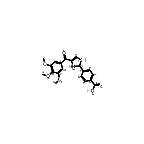 COc1cc(C(=O)C2=C[SH]C(c3ccc(C(=O)O)cc3)N2)cc(OC)c1OC